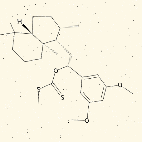 COc1cc(OC)cc([C@@H](C[C@H]2[C@@H](C)CC[C@H]3C(C)(C)CCC[C@]23C)OC(=S)SC)c1